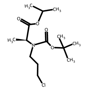 CC(C)OC(=O)[C@H](C)N(CCCCl)C(=O)OC(C)(C)C